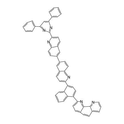 c1ccc(-c2cc(-c3ccccc3)nc(-c3ccc4cc(-c5ccc6nc(-c7ccc(-c8ccc9ccc%10cccnc%10c9n8)c8ccccc78)ccc6c5)ccc4n3)n2)cc1